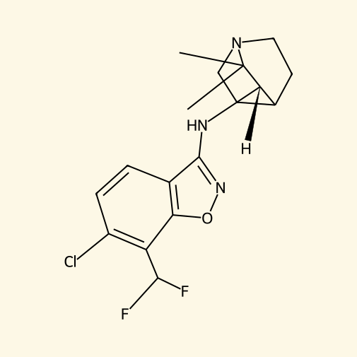 CC1(C)[C@@H](Nc2noc3c(C(F)F)c(Cl)ccc23)C2CCN1CC2